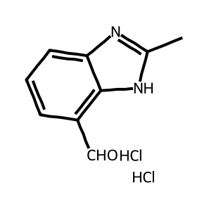 Cc1nc2cccc(C=O)c2[nH]1.Cl.Cl